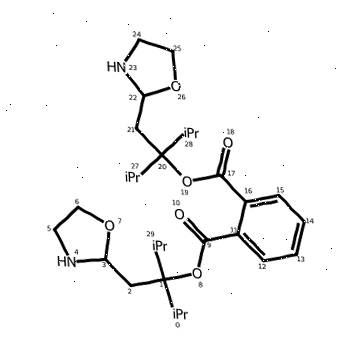 CC(C)C(CC1NCCO1)(OC(=O)c1ccccc1C(=O)OC(CC1NCCO1)(C(C)C)C(C)C)C(C)C